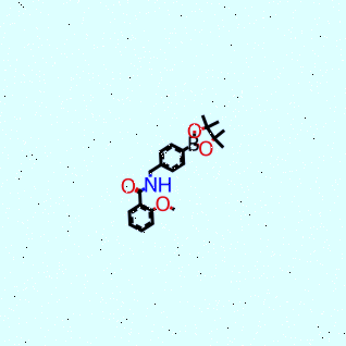 COc1ccccc1C(=O)NCc1ccc(B2OC(C)(C)C(C)(C)O2)cc1